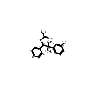 CC(C)(c1cccc(Cl)c1)C(OC(N)=O)c1ccccc1